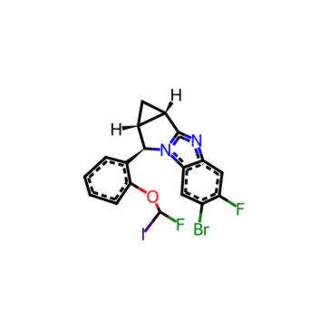 Fc1cc2nc3n(c2cc1Br)[C@@H](c1ccccc1OC(F)I)[C@@H]1C[C@H]31